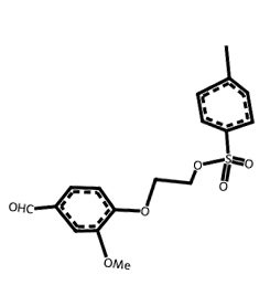 COc1cc(C=O)ccc1OCCOS(=O)(=O)c1ccc(C)cc1